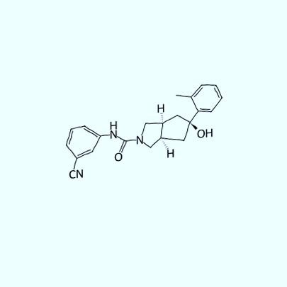 Cc1ccccc1[C@]1(O)C[C@H]2CN(C(=O)Nc3cccc(C#N)c3)C[C@H]2C1